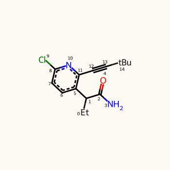 CCC(C(N)=O)c1ccc(Cl)nc1C#CC(C)(C)C